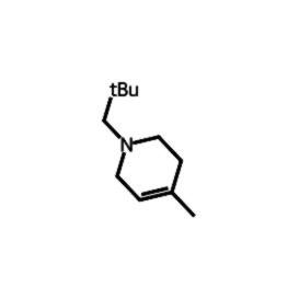 CC1=CCN(CC(C)(C)C)CC1